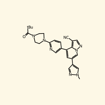 Cn1cc(-c2cc(-c3ccc(N4CCN(C(=O)C(C)(C)C)CC4)nc3)c3c(C#N)cnn3c2)cn1